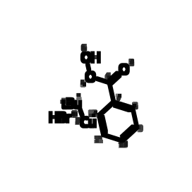 Br.C[C](C)(C)[Cu].O=C(OO)c1ccccc1